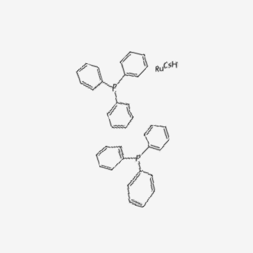 [CsH].[Ru].c1ccc(P(c2ccccc2)c2ccccc2)cc1.c1ccc(P(c2ccccc2)c2ccccc2)cc1